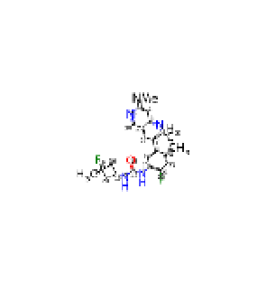 CNc1cc2nc(C)c(-c3cc(NC(=O)N[C@H]4C[C@@](C)(F)C4)c(F)cc3C)cc2cn1